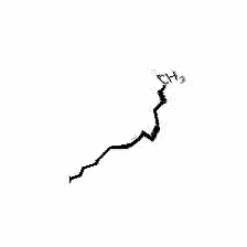 CCCC/C=C\CCCCCCI